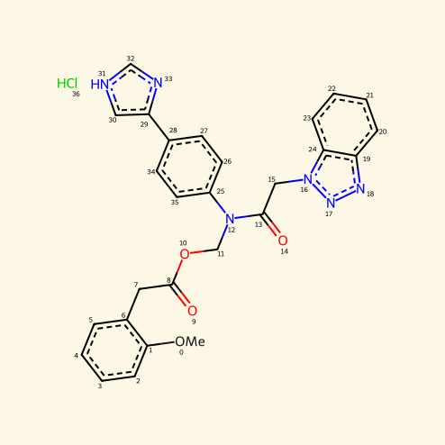 COc1ccccc1CC(=O)OCN(C(=O)Cn1nnc2ccccc21)c1ccc(-c2c[nH]cn2)cc1.Cl